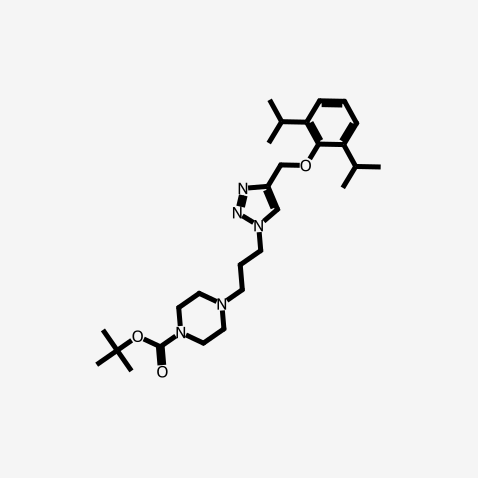 CC(C)c1cccc(C(C)C)c1OCc1cn(CCCN2CCN(C(=O)OC(C)(C)C)CC2)nn1